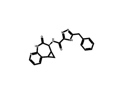 O=C(N[C@@H]1C(=O)Nc2ncccc2C2CC21)c1nnc(Cc2ccccc2)[nH]1